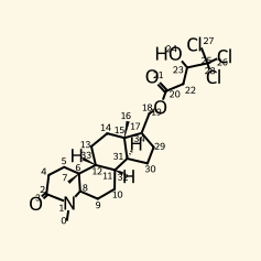 CN1C(=O)CC[C@@]2(C)C1CC[C@@H]1[C@H]2CC[C@]2(C)C(COC(=O)CC(O)C(Cl)(Cl)Cl)CC[C@@H]12